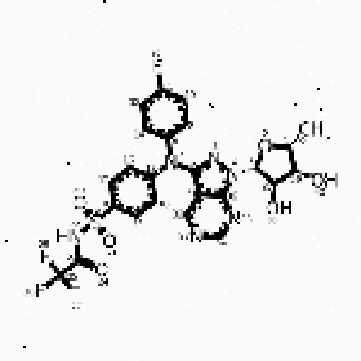 C[C@H]1O[C@@H](n2nc(N(c3ccc(F)cc3)c3ccc(S(=O)(=O)NC(=O)C(F)(F)F)cc3)c3cncnc32)[C@H](O)[C@@H]1O